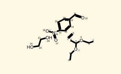 C=C.CCOC(C)OCC.O=Cc1ccc([N+](=O)[O-])cc1.OCCO